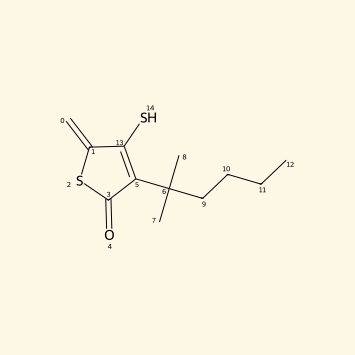 C=C1SC(=O)C(C(C)(C)CCCC)=C1S